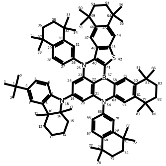 CC(C)(C)c1ccc2c(c1)C1(C)CCCCC1(C)N2c1cc2c3c(c1)N(c1ccc4c(c1)C(C)(C)CCC4(C)C)c1c(sc4cc5c(cc14)C(C)(C)CCC5(C)C)B3c1cc3c(cc1N2c1ccc2c(c1)C(C)(C)CCC2(C)C)C(C)(C)CCC3(C)C